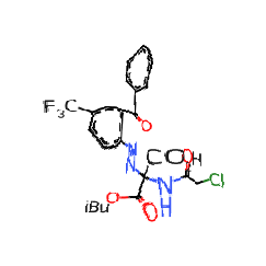 CCC(C)OC(=O)C(N=Nc1ccc(C(F)(F)F)cc1C(=O)c1ccccc1)(NC(=O)CCl)C(=O)O